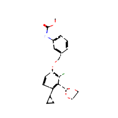 CC(C)(C)OC(=O)Nc1cccc(COc2ccc(C3CC3)c(C3OCCO3)c2F)c1